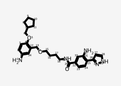 Nc1ccc(OCC2CCCC2)c(COCCCCNC(=O)c2ccc(-c3cc[nH]n3)c(N)c2)c1